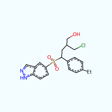 CCc1ccc(C(CC(CO)CCl)S(=O)(=O)c2ccc3[nH]ncc3c2)cc1